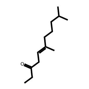 CCC(=O)C/C=C(\C)CCCC(C)C